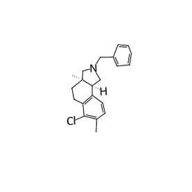 Cc1ccc2c(c1Cl)CC[C@@]1(C)CN(Cc3ccccc3)C[C@@H]21